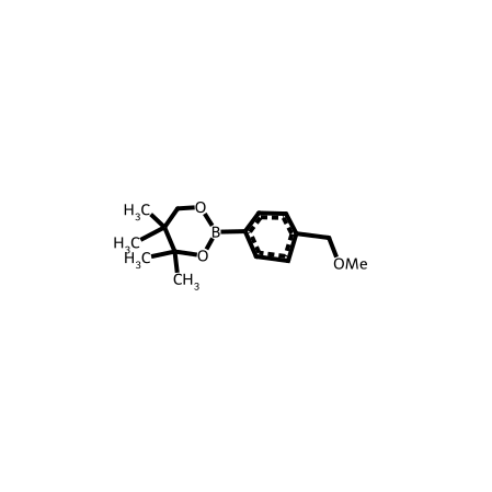 COCc1ccc(B2OCC(C)(C)C(C)(C)O2)cc1